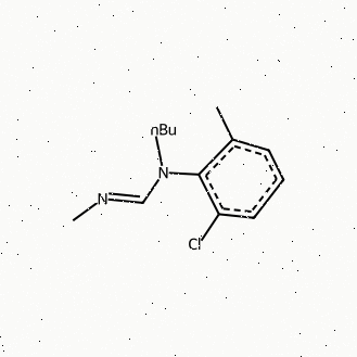 CCCCN(C=NC)c1c(C)cccc1Cl